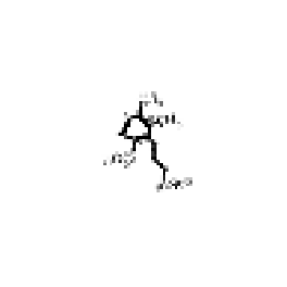 CCCCCCCCCCCCc1c(S(=O)(=O)O)ccc(C)c1C